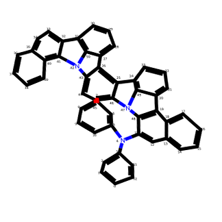 c1ccc(N(c2ccccc2)c2cc3ccccc3c3c4cccc5c6c7c8cccc9c%10ccc%11ccccc%11c%10n(c7ccc6n(c23)c54)c98)cc1